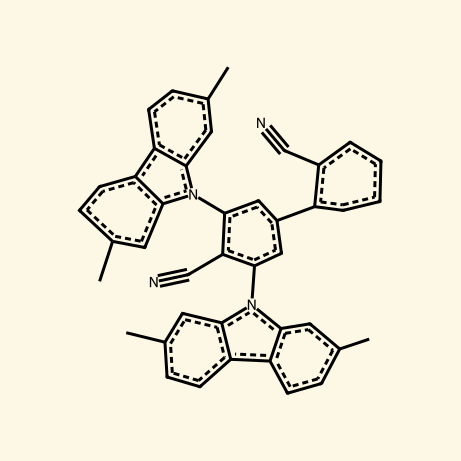 Cc1ccc2c3ccc(C)cc3n(-c3cc(-c4ccccc4C#N)cc(-n4c5cc(C)ccc5c5ccc(C)cc54)c3C#N)c2c1